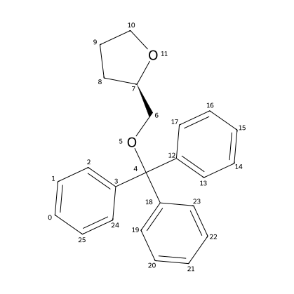 c1ccc(C(OC[C@H]2CCCO2)(c2ccccc2)c2ccccc2)cc1